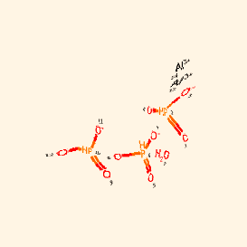 O.O=[PH]([O-])[O-].O=[PH]([O-])[O-].O=[PH]([O-])[O-].[Al+3].[Al+3]